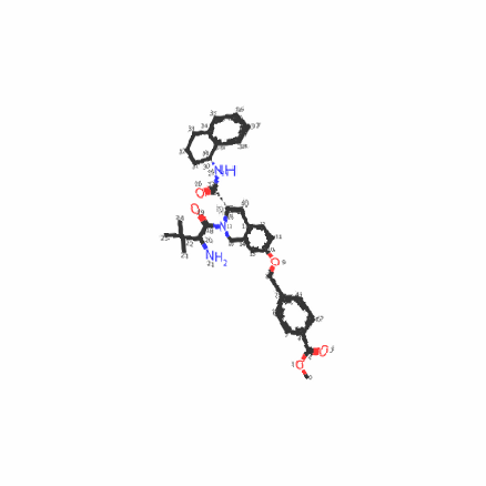 COC(=O)c1ccc(COc2ccc3c(c2)CN(C(=O)C(N)C(C)(C)C)[C@H](C(=O)N[C@@H]2CCCc4ccccc42)C3)cc1